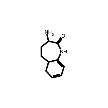 NC1CCC2CC=CC=C2NC1=O